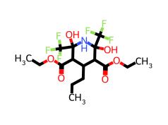 CCCC1C(C(=O)OCC)C(O)(C(F)(F)F)NC(O)(C(F)(F)F)C1C(=O)OCC